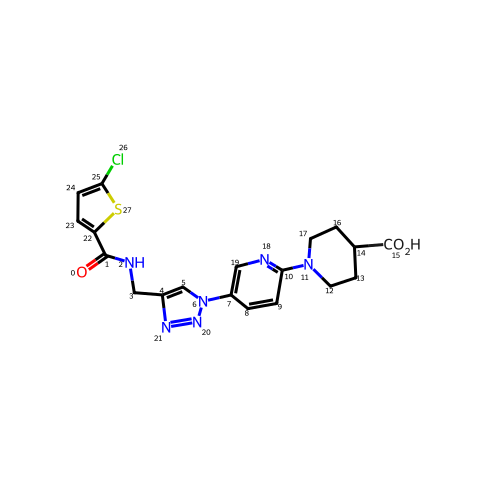 O=C(NCc1cn(-c2ccc(N3CCC(C(=O)O)CC3)nc2)nn1)c1ccc(Cl)s1